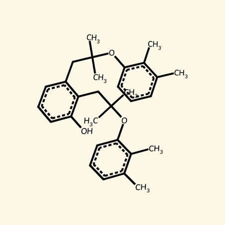 Cc1cccc(OC(C)(C)Cc2cccc(O)c2CC(C)(C)Oc2cccc(C)c2C)c1C